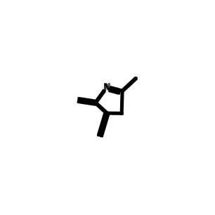 C=C1CC(C)=NC1=C